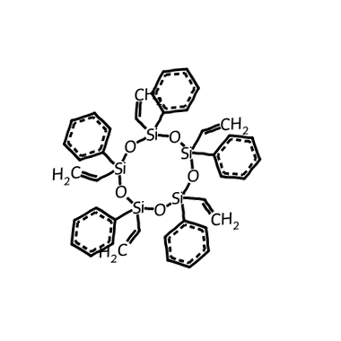 C=C[Si]1(c2ccccc2)O[Si](C=C)(c2ccccc2)O[Si](C=C)(c2ccccc2)O[Si](C=C)(c2ccccc2)O[Si](C=C)(c2ccccc2)O1